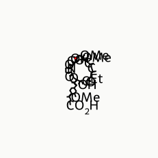 CCC1/C=C(\C)CC(C)CC(OC)C2OC(O)(C(=O)C(=O)N3CCCCC3C(=O)OC(C(C)=CC3CCC(=C(C)CCC(=O)O)C(OC)C3)C(C)C(O)CC1=O)C(C)CC2OC